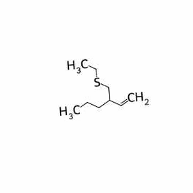 C=CC(CCC)CSCC